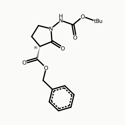 CC(C)(C)OC(=O)NN1CC[C@@H](C(=O)OCc2ccccc2)C1=O